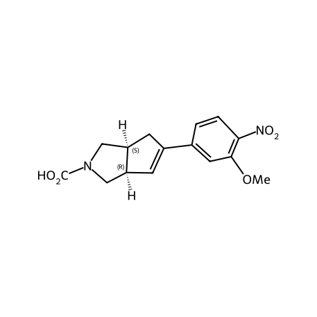 COc1cc(C2=C[C@H]3CN(C(=O)O)C[C@H]3C2)ccc1[N+](=O)[O-]